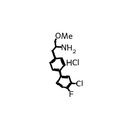 COCC(N)Cc1ccc(-c2ccc(F)c(Cl)c2)cc1.Cl